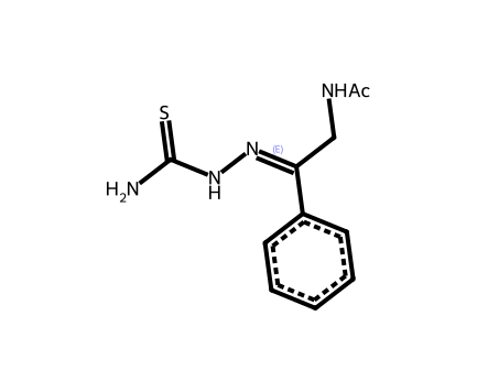 CC(=O)NC/C(=N/NC(N)=S)c1ccccc1